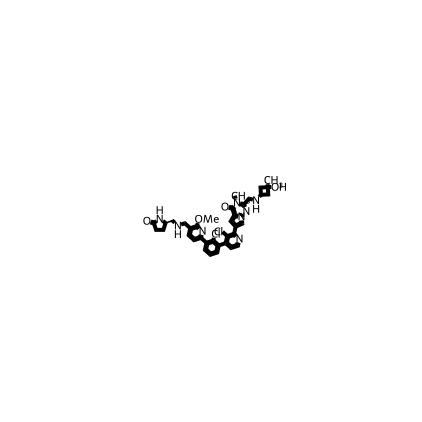 COc1nc(-c2cccc(-c3ccnc(-c4cc5c(=O)n(C)c(CNC6CC(C)(O)C6)nn5c4)c3Cl)c2Cl)ccc1CNC[C@H]1CCC(=O)N1